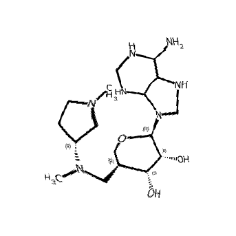 CN1CC[C@@H](N(C)C[C@H]2O[C@@H](N3CNC4C(N)NCNC43)[C@H](O)[C@@H]2O)C1